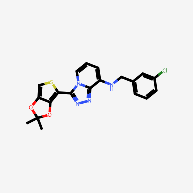 CC1(C)Oc2csc(-c3nnc4c(NCc5cccc(Cl)c5)cccn34)c2O1